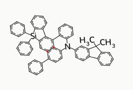 CC1(C)c2ccccc2-c2ccc(N(c3ccc(-c4ccccc4)cc3)c3ccccc3-c3cccc4c3-c3ccccc3[Si]4(c3ccccc3)c3ccccc3)cc21